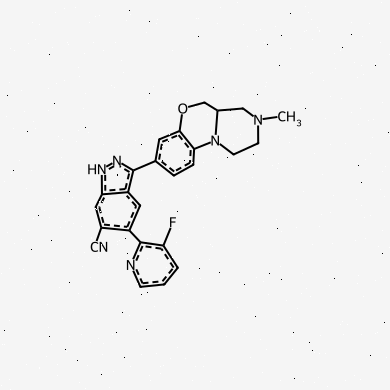 CN1CCN2c3ccc(-c4n[nH]c5cc(C#N)c(-c6ncccc6F)cc45)cc3OCC2C1